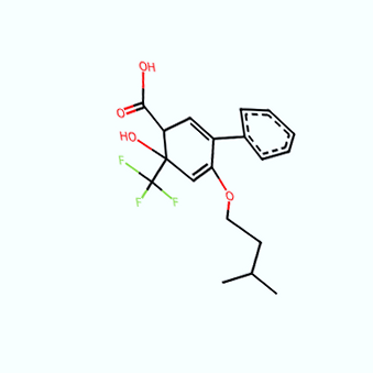 CC(C)CCOC1=CC(O)(C(F)(F)F)C(C(=O)O)C=C1c1ccccc1